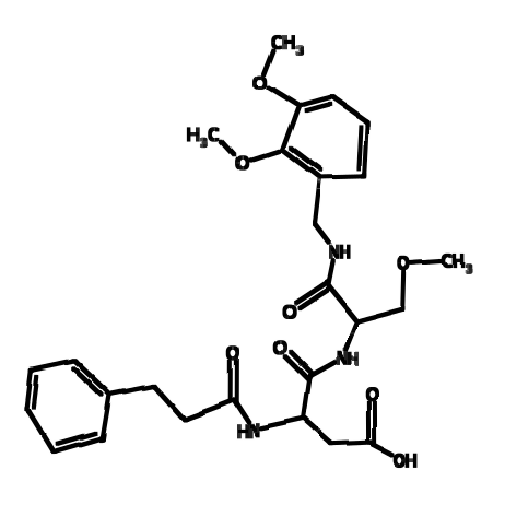 COCC(NC(=O)C(CC(=O)O)NC(=O)CCc1ccccc1)C(=O)NCc1cccc(OC)c1OC